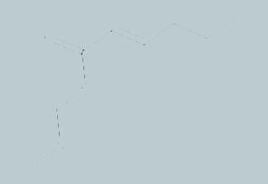 CCC/C=C/C(=O)OCSC